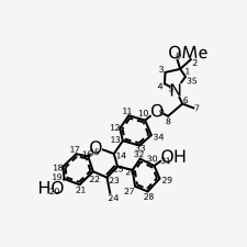 COC1(C)CCN(C(C)COc2ccc(C3Oc4ccc(O)cc4C(C)=C3c3cccc(O)c3)cc2)C1